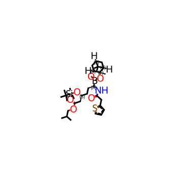 CC(C)COC(=O)C[C@H](CC[C@H](NC(=O)Cc1cccs1)B1O[C@@H]2C[C@@H]3C[C@@H](C3(C)C)[C@]2(C)O1)O[Si](C)(C)C(C)(C)C